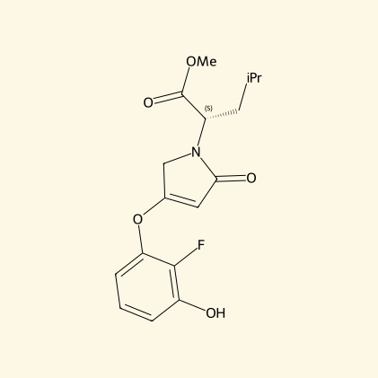 COC(=O)[C@H](CC(C)C)N1CC(Oc2cccc(O)c2F)=CC1=O